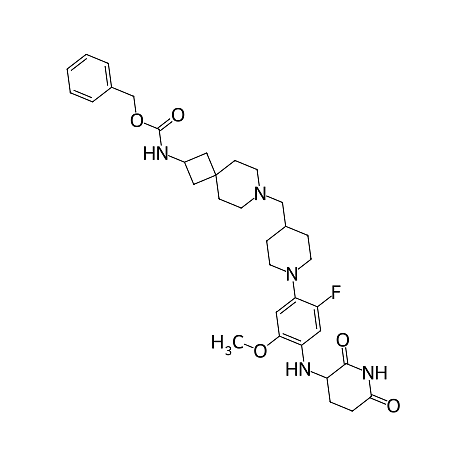 COc1cc(N2CCC(CN3CCC4(CC3)CC(NC(=O)OCc3ccccc3)C4)CC2)c(F)cc1NC1CCC(=O)NC1=O